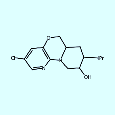 CC(C)C1CC2COc3cc(Cl)cnc3N2CC1O